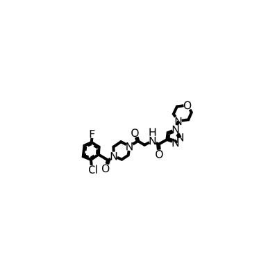 O=C(NCC(=O)N1CCN(C(=O)c2cc(F)ccc2Cl)CC1)c1cn(N2CCOCC2)nn1